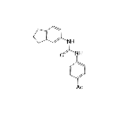 CC(=O)c1ccc(NC(=O)Nc2ccc3c(c2)CCC3)cc1